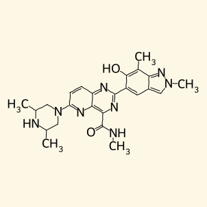 CNC(=O)c1nc(-c2cc3cn(C)nc3c(C)c2O)nc2ccc(N3CC(C)NC(C)C3)nc12